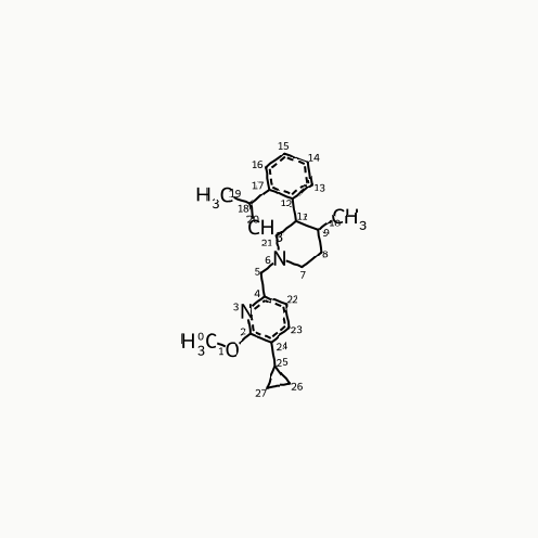 COc1nc(CN2CCC(C)C(c3ccccc3C(C)C)C2)ccc1C1CC1